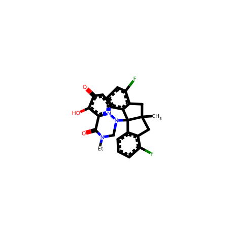 CCN1CN(C23c4cccc(F)c4CC2(C)Cc2c(F)cccc23)n2ccc(=O)c(O)c2C1=O